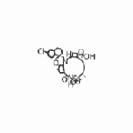 C[C@@H]1[C@@H](C)CCC[C@@H](C(=O)O)[C@@H]2CC[C@H]2CN2C[C@@]3(CCCc4cc(Cl)ccc43)COc3ccc(cc32)C(=O)NS1(=O)=O